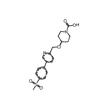 CS(=O)(=O)c1ccc(-c2ccc(COC3CCN(C(=O)O)CC3)nc2)cc1